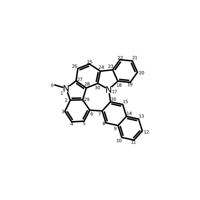 Cn1c2cccc3c4cc5ccccc5cc4n4c5ccccc5c5ccc1c(c32)c54